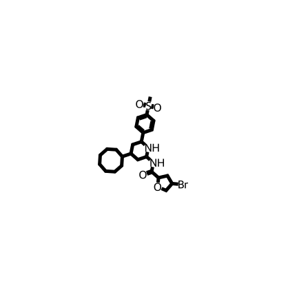 CS(=O)(=O)c1ccc(C2CC(C3CCCCCCC3)CC(NC(=O)C3CC(Br)CO3)N2)cc1